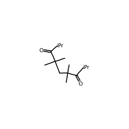 CC(C)C(=O)C(C)(C)CC(C)(C)C(=O)C(C)C